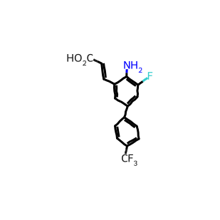 Nc1c(F)cc(-c2ccc(C(F)(F)F)cc2)cc1/C=C/C(=O)O